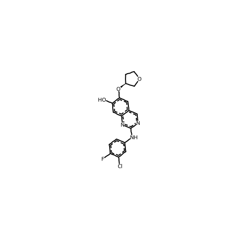 Oc1cc2nc(Nc3ccc(F)c(Cl)c3)ncc2cc1O[C@H]1CCOC1